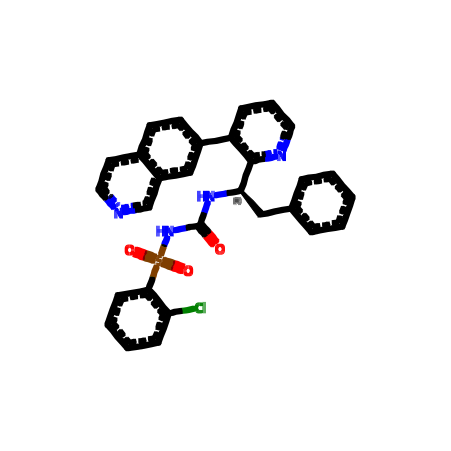 O=C(N[C@H](Cc1ccccc1)c1ncccc1-c1ccc2ccncc2c1)NS(=O)(=O)c1ccccc1Cl